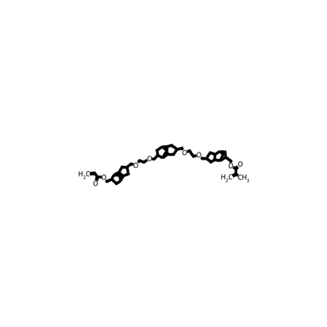 C=CC(=O)OCC1CC2CC1C1CC(COCCOCC3CC4CC3C3CC(COCCOCC5CC6C7CC(COC(=O)C(=C)C)C(C7)C6C5)CC43)CC21